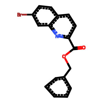 O=C(OCc1ccccc1)c1ccc2ccc(Br)cc2n1